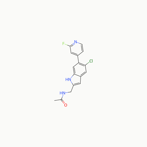 CC(=O)NCc1cc2cc(Cl)c(-c3ccnc(F)c3)cc2[nH]1